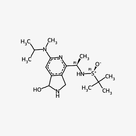 CC(C)N(C)c1cc2c(c([C@@H](C)N[S@@+]([O-])C(C)(C)C)n1)CNC2O